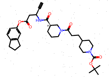 C#CC(CC(=O)Oc1ccc2c(c1)CCC2)NC(=O)[C@@H]1CCCN(C(=O)CCC2CCN(C(=O)OC(C)(C)C)CC2)C1